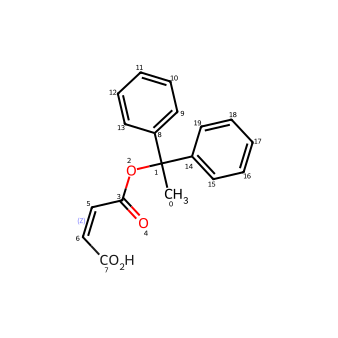 CC(OC(=O)/C=C\C(=O)O)(c1ccccc1)c1ccccc1